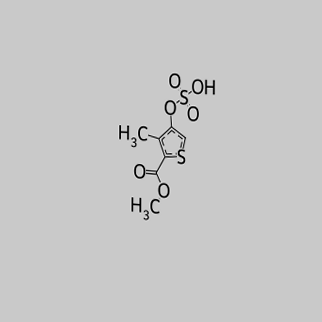 COC(=O)c1scc(OS(=O)(=O)O)c1C